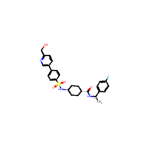 C[C@@H](NC(=O)[C@H]1CC[C@H](NS(=O)(=O)c2ccc(-c3ccc(CO)nc3)cc2)CC1)c1ccc(F)cc1